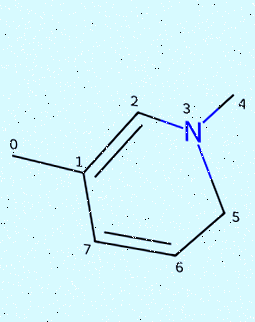 CC1=CN(C)CC=C1